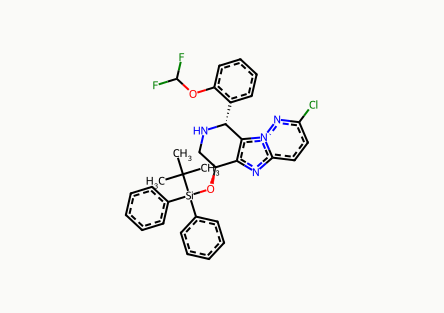 CC(C)(C)[Si](O[C@H]1CN[C@H](c2ccccc2OC(F)F)c2c1nc1ccc(Cl)nn21)(c1ccccc1)c1ccccc1